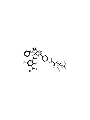 CC(C)(C)OC(=O)NC[C@H]1CC[C@H](C(=O)N2CC(c3cc(F)cc(C(=O)O)c3F)[C@H](c3ccccc3)[C@@]2(C)C(N)=O)CC1